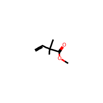 C=CC(C)(C)C(=O)OC